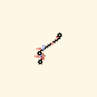 CS(=O)(=O)N(OC(=O)c1ccccc1)c1cc(C(O)CNCCCCCCOCCCCc2cc3ccccc3o2)ccc1O